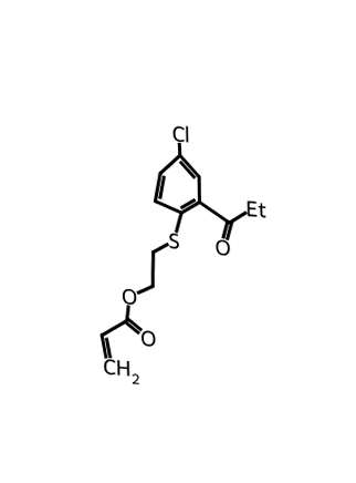 C=CC(=O)OCCSc1ccc(Cl)cc1C(=O)CC